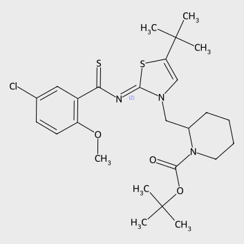 COc1ccc(Cl)cc1C(=S)/N=c1\sc(C(C)(C)C)cn1CC1CCCCN1C(=O)OC(C)(C)C